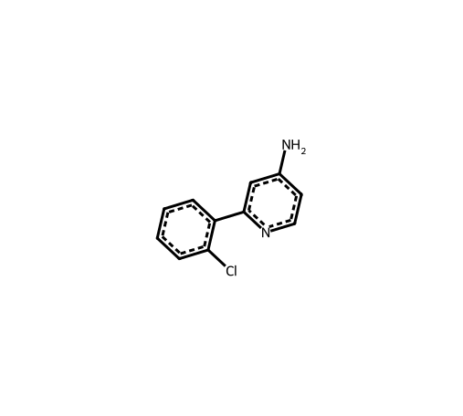 Nc1ccnc(-c2ccccc2Cl)c1